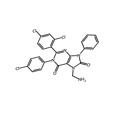 NCn1c(=O)n(-c2ccccc2)c2nc(-c3ccc(Cl)cc3Cl)n(-c3ccc(Cl)cc3)c(=O)c21